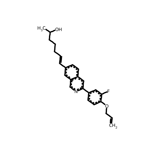 C=CCOc1ccc(-c2cc3ccc(C=CCCCC(C)O)cc3cn2)cc1F